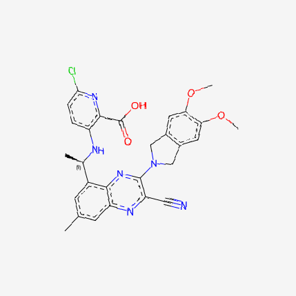 COc1cc2c(cc1OC)CN(c1nc3c([C@@H](C)Nc4ccc(Cl)nc4C(=O)O)cc(C)cc3nc1C#N)C2